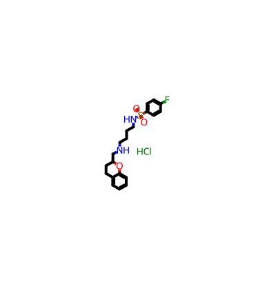 Cl.O=S(=O)(NCCCCNCC1CCc2ccccc2O1)c1ccc(F)cc1